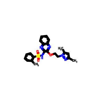 Cc1cc(C)n(CCOc2nc3ccccc3nc2NS(=O)(=O)c2ccccc2C)n1